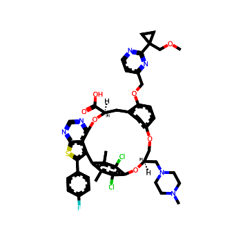 COCC1(c2nccc(COc3ccc4cc3C[C@H](C(=O)O)Oc3ncnc5sc(-c6ccc(F)cc6)c(c35)-c3c(C)c(Cl)c(c(Cl)c3C)O[C@H](CN3CCN(C)CC3)CO4)n2)CC1